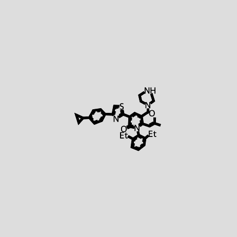 CCc1cccc(CC)c1-n1c(C=C(C)C)c(C(=O)N2CCNCC2)cc(-c2nc(-c3ccc(C4CC4)cc3)cs2)c1=O